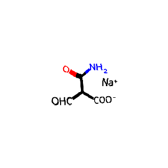 NC(=O)C(C=O)C(=O)[O-].[Na+]